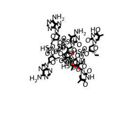 CC[C@H]1O[C@@H](n2cc(C)c(=O)[nH]c2=O)C[C@H]1OP(=O)(S)OC[C@H]1O[C@@H](n2cc(C)c(=O)[nH]c2=O)C[C@H]1OP(=O)(S)OC[C@H]1O[C@@H](n2cc(C)c(N)nc2=O)C[C@H]1OP(=O)(S)OC[C@H]1O[C@@H](n2cnc3c(N)ncnc32)C[C@H]1OP(=O)(S)OC[C@H]1O[C@@H](n2cnc3c(N)ncnc32)C[C@H]1OP(=O)(S)OC[C@H]1O[C@@H](n2cc(C)c(=O)[nH]c2=O)C[C@H]1OP(=O)(S)OC